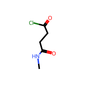 CNC(=O)CCC(=O)Cl